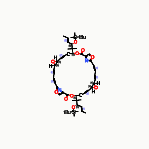 C/C=C/[C@H](O[Si](C)(C)C(C)(C)C)C(C)(C)[C@@H]1C/C=C\[C@H]2O[C@H]2/C=C/C=C\c2nc(co2)C(=O)O[C@H](C(C)(C)[C@H](/C=C/C)O[Si](C)(C)C(C)(C)C)C/C=C\[C@H]2O[C@H]2/C=C/C=C\c2nc(co2)C(=O)O1